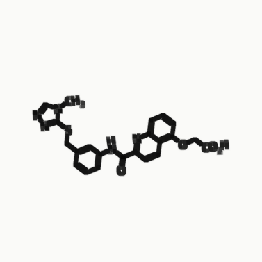 Cn1cnnc1SCc1cccc(NC(=O)c2ccc3c(OCC(=O)O)cccc3n2)c1